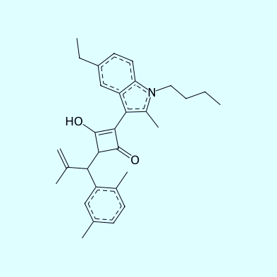 C=C(C)C(c1cc(C)ccc1C)C1C(=O)C(c2c(C)n(CCCC)c3ccc(CC)cc23)=C1O